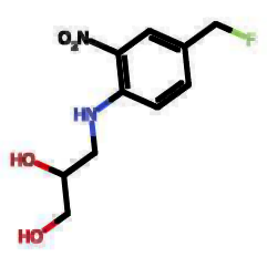 O=[N+]([O-])c1cc(CF)ccc1NCC(O)CO